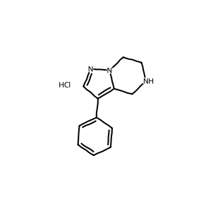 Cl.c1ccc(-c2cnn3c2CNCC3)cc1